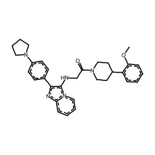 COc1ccccc1C1CCN(C(=O)CNc2c(-c3ccc(N4CCCC4)cc3)nc3ccccn23)CC1